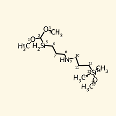 COC(OC)[SiH2]CCCNCCC[Si](C)(C)OC